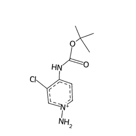 CC(C)(C)OC(=O)Nc1cc[n+](N)cc1Cl